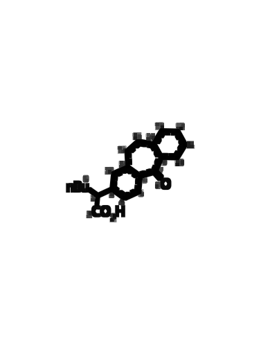 CCCCC(C(=O)O)c1ccc2c(=O)c3ccccc3ccc2c1